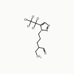 CCC(C=O)CCCn1nncc1C(Cl)(Cl)C(Cl)(Cl)Cl